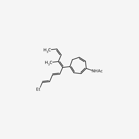 C\C=C/C(C)=C(/C=C/C=C/CC)C1=CC=C(NC(C)=O)C=CC1